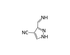 N#Cc1c[nH]nc1C=N